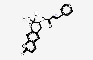 CC1(C)Oc2cc3oc(=O)ccc3cc2C[C@@H]1OC(=O)/C=C/c1ccncc1